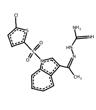 C/C(=N/NC(=N)N)c1cn(S(=O)(=O)c2ccc(Cl)s2)c2ccccc12